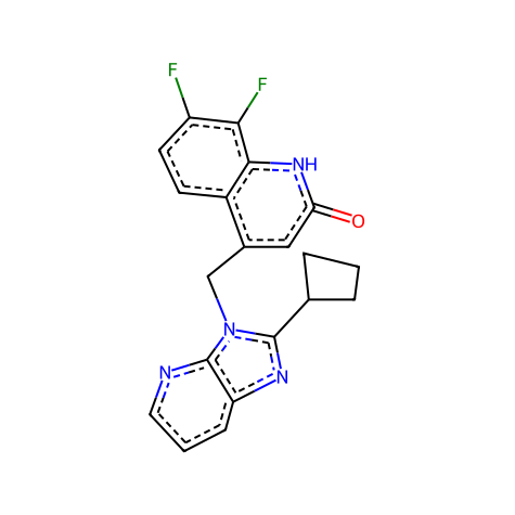 O=c1cc(Cn2c(C3CCC3)nc3cccnc32)c2ccc(F)c(F)c2[nH]1